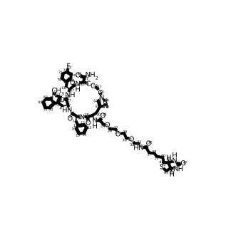 Cn1cc(C[C@@H]2NC(=O)[C@@H](Cc3ccccc3)NC(=O)[C@@H](NC(=O)COCCOCCOCCNC(=O)CCCCC3SC[C@H]4NC(=O)N[C@@H]34)Cc3cn(nn3)CCCCC(C(N)=O)NC(=O)[C@H](Cc3ccc(F)cc3)NC2=O)c2ccccc21